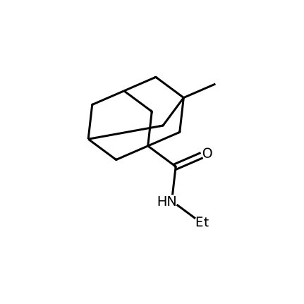 CCNC(=O)C12CC3CC(CC(C)(C3)C1)C2